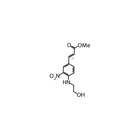 COC(=O)/C=C/c1ccc(NCCO)c([N+](=O)[O-])c1